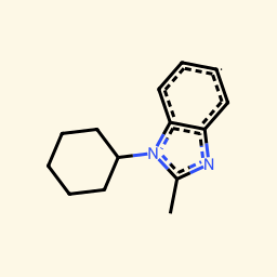 Cc1nc2c[c]ccc2n1C1CCCCC1